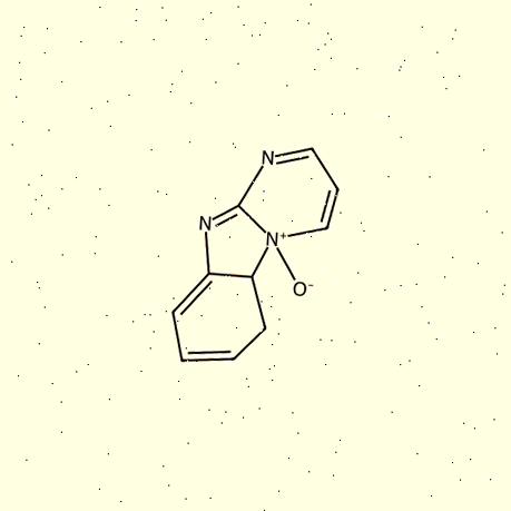 [O-][N+]12C=CC=NC1=NC1=CC=CCC12